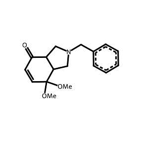 COC1(OC)C=CC(=O)C2CN(Cc3ccccc3)CC21